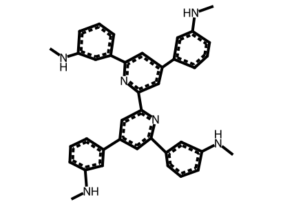 CNc1cccc(-c2cc(-c3cccc(NC)c3)nc(-c3cc(-c4cccc(NC)c4)cc(-c4cccc(NC)c4)n3)c2)c1